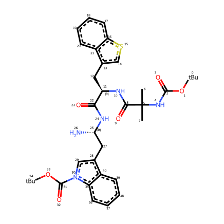 CC(C)(C)OC(=O)NC(C)(C)C(=O)N[C@H](Cc1csc2ccccc12)C(=O)N[C@@H](N)Cc1cn(C(=O)OC(C)(C)C)c2ccccc12